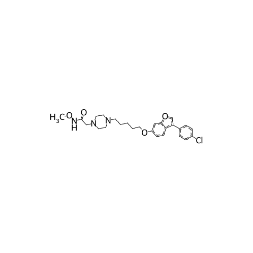 CONC(=O)CN1CCN(CCCCCOc2ccc3c(-c4ccc(Cl)cc4)coc3c2)CC1